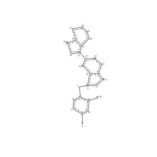 Fc1ccc(Cn2cnc3cnc(-n4cnc5ccccc54)nc32)c(F)c1